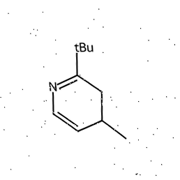 CC1C=CN=C(C(C)(C)C)C1